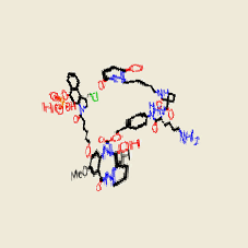 COc1cc2c(cc1OCCCCCC(=O)N1C[C@@H](CCl)c3c1cc(OP(=O)(O)O)c1ccccc31)N(C(=O)OCc1ccc(NC(=O)[C@H](CCCCN)NC(=O)C3(C(=O)NCCCCCN4C(=O)C=CC4=O)CCC3)cc1)C(O)[C@@H]1CCCN1C2=O